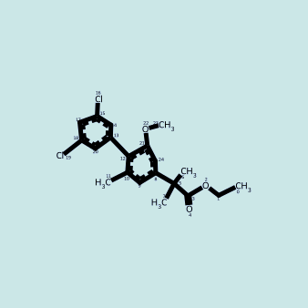 CCOC(=O)C(C)(C)c1cc(C)c(-c2cc(Cl)cc(Cl)c2)c(OC)c1